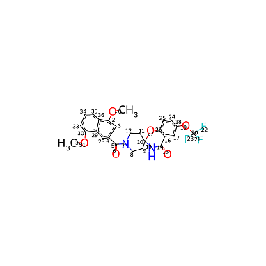 COc1cc(C(=O)N2CCC3(CC2)NC(=O)c2cc(OC(F)(F)F)ccc2O3)cc2c(OC)cccc12